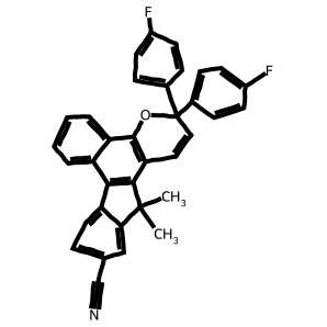 CC1(C)c2cc(C#N)ccc2-c2c1c1c(c3ccccc23)OC(c2ccc(F)cc2)(c2ccc(F)cc2)C=C1